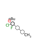 CCCCOc1ccc(C2CCC(C3CCC(C)CC3)CC2)c(F)c1Cl